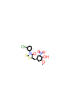 COc1cc(C=C2SC(=S)N(c3cccc(Cl)c3)C2=O)cc([N+](=O)[O-])c1O